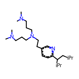 CC(C)CC(c1ccc(CCN(CCCN(C)C)CCCN(C)C)cn1)C(C)C